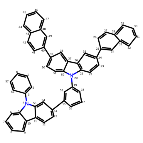 c1ccc(-n2c3ccccc3c3ccc(-c4cccc(-n5c6ccc(-c7ccc8ccccc8c7)cc6c6cc(-c7ccc8ccccc8c7)ccc65)c4)cc32)cc1